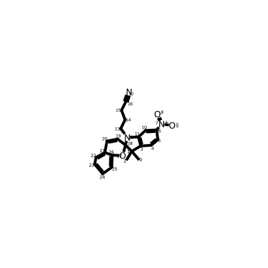 CC1(C)c2ccc([N+](=O)[O-])cc2N(CCCC#N)C12C=Cc1ccccc1O2